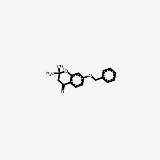 CC1(C)CC(=O)c2ccc(OCc3ccccc3)cc2O1